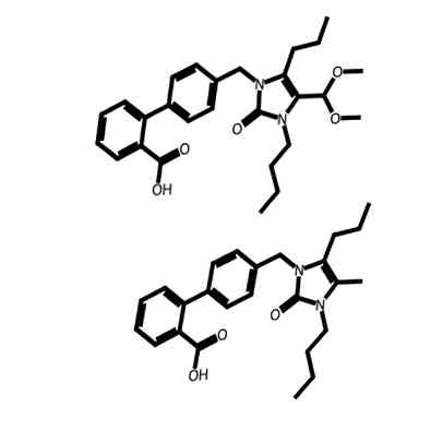 CCCCn1c(C(OC)OC)c(CCC)n(Cc2ccc(-c3ccccc3C(=O)O)cc2)c1=O.CCCCn1c(C)c(CCC)n(Cc2ccc(-c3ccccc3C(=O)O)cc2)c1=O